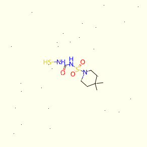 CC1(C)CCN(S(=O)(=O)NC(=O)NS)CC1